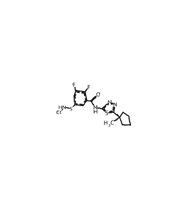 CCNSc1cc(F)c(F)c(C(=O)Nc2nnc(C3(C)CCCC3)s2)c1